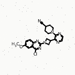 COc1ccc2nc(N3CC(c4nccnc4N4CCC(C#N)CC4)C3)nc(Cl)c2c1